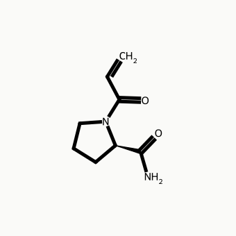 C=CC(=O)N1CCC[C@@H]1C(N)=O